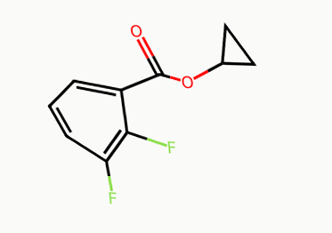 O=C(OC1CC1)c1cccc(F)c1F